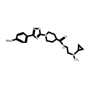 COc1ccc(-c2noc(N3CCC(C(=O)NCCN(C)C4CC4)CC3)n2)cc1